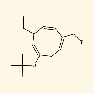 CCC1C=C/C(CF)=C\C/C(OC(C)(C)C)=C\1